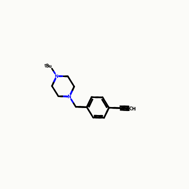 C#Cc1ccc(CN2CCN(C(C)(C)C)CC2)cc1